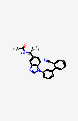 CC(=O)N[C@@H](C)c1ccc2c(c1)ncn2-c1cccc(-c2ccccc2C#N)c1